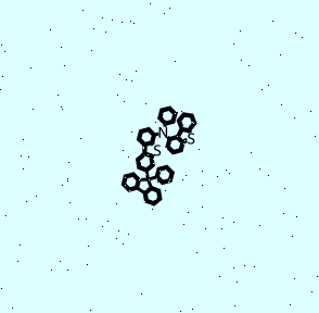 c1ccc(N(c2cccc3c2sc2cc(C4(c5ccccc5)c5ccccc5-c5ccccc54)ccc23)c2cccc3sc4ccccc4c23)cc1